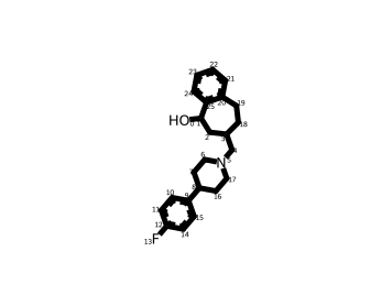 OC1CC(CN2CCC(c3ccc(F)cc3)CC2)CCc2ccccc21